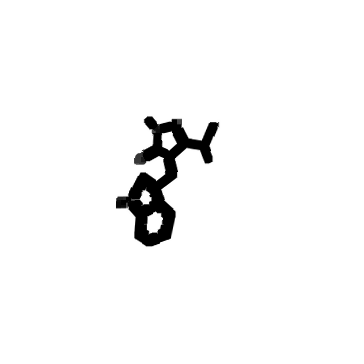 CC(C)C1=NN(C)C(=O)C1=Cc1c[nH]c2ccccc12